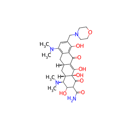 CN(C)c1cc(CN2CCOCC2)c(O)c2c1C[C@H]1C[C@H]3[C@H](N(C)C)C(O)C(C(N)=O)C(=O)[C@@]3(O)C(O)=C1C2=O